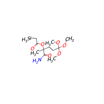 COC(CCC(C)(OC(=O)C[SiH3])C(N)=O)(OC)OC